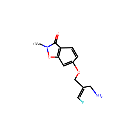 CCCCn1oc2cc(OC/C(=C/F)CN)ccc2c1=O